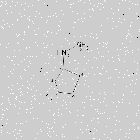 [SiH3]NC1CCCC1